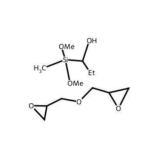 C(OCC1CO1)C1CO1.CCC(O)[Si](C)(OC)OC